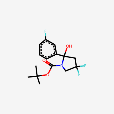 CC(C)(C)OC(=O)N1CC(F)(F)CC1(O)c1cccc(F)c1